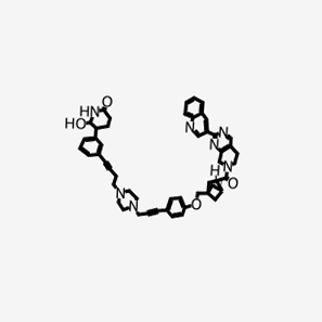 O=C1CCC(c2cccc(C#CCCN3CCN(CC#Cc4ccc(OCC56CC(C5)[C@H](C(=O)N5CCc7cnc(-c8cnc9ccccc9c8)nc7C5)C6)cc4)CC3)c2)C(O)N1